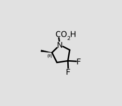 C[C@@H]1CC(F)(F)CN1C(=O)O